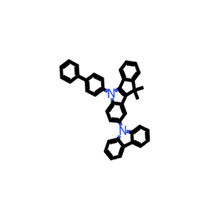 CC1(C)c2ccccc2-c2c1c1cc(-n3c4ccccc4c4ccccc43)ccc1n2-c1ccc(-c2ccccc2)cc1